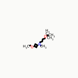 CCO[C@H]1C[C@H](N(C)CCCCOC(C)(C)C)C1